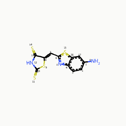 Nc1ccc2nc(/C=C3\SC(=S)NC3=S)sc2c1